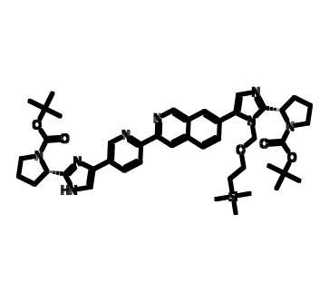 CC(C)(C)OC(=O)N1CCC[C@H]1c1nc(-c2ccc(-c3cc4ccc(-c5cnc([C@@H]6CCCN6C(=O)OC(C)(C)C)n5COCC[Si](C)(C)C)cc4cn3)nc2)c[nH]1